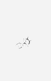 CCc1cnc(N2CCOCC2)nc1C